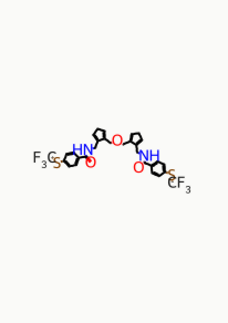 O=C(NCC1=CCC=C1COCC1=CCC=C1CNC(=O)c1ccc(SC(F)(F)F)cc1)c1ccc(SC(F)(F)F)cc1